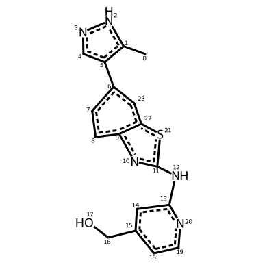 Cc1[nH]ncc1-c1ccc2nc(Nc3cc(CO)ccn3)sc2c1